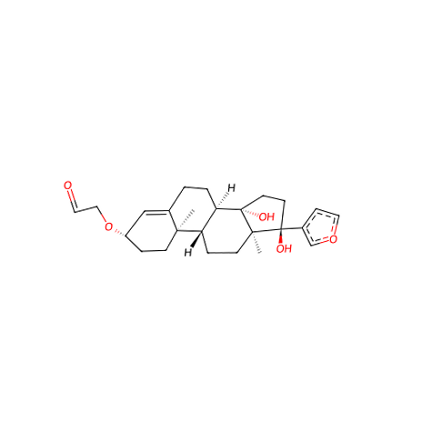 C[C@]12CC[C@H]3[C@@H](CCC4=C[C@@H](OCC=O)CC[C@@]43C)[C@@]1(O)CC[C@]2(O)c1ccoc1